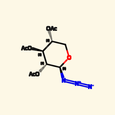 CC(=O)O[C@@H]1[C@@H](OC(C)=O)[C@H](OC(C)=O)CO[C@H]1N=[N+]=[N-]